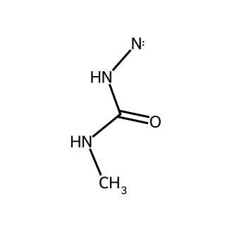 CNC(=O)N[N]